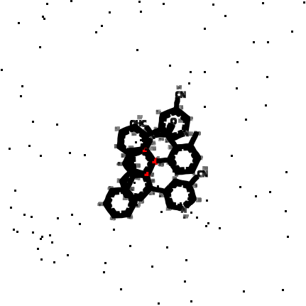 Cc1cccc(-n2c3c(-c4cncc(C#N)c4)cccc3c3cccc(-c4cncc(C#N)c4)c32)c1C(=O)N(C=O)c1ccc(-c2ccccc2)cc1